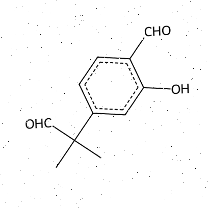 CC(C)(C=O)c1ccc(C=O)c(O)c1